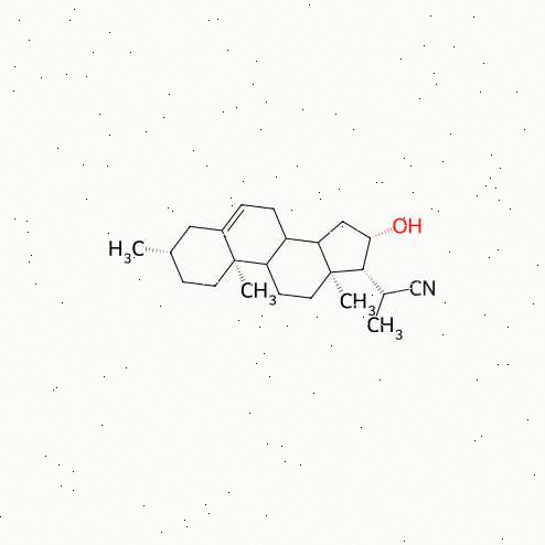 CC(C#N)[C@H]1[C@@H](O)CC2C3CC=C4C[C@@H](C)CC[C@]4(C)C3CC[C@@]21C